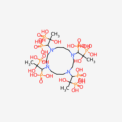 CC(O)(C(N1CCCN(C(C(C)(O)P(=O)(O)O)P(=O)(O)O)CCN(C(C(C)(O)P(=O)(O)O)P(=O)(O)O)CCCN(C(C(C)(O)P(=O)(O)O)P(=O)(O)O)CC1)P(=O)(O)O)P(=O)(O)O